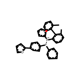 Cc1ccc[c]c1-c1c(C)cccc1[P@@](c1ccco1)P(c1ccccc1)c1ccc(-c2ccco2)cc1